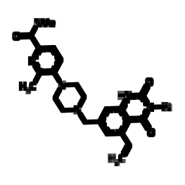 C=Cc1cc(CN2CCN(c3ccc(C(=O)NC)nc3C)CC2)cc2[nH]c(=O)n(CC)c(=O)c12